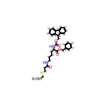 CC(=O)NCSCCC(=O)NCCCCC(NC(=O)OCC1c2ccccc2-c2ccccc21)C(=O)OCc1ccccc1